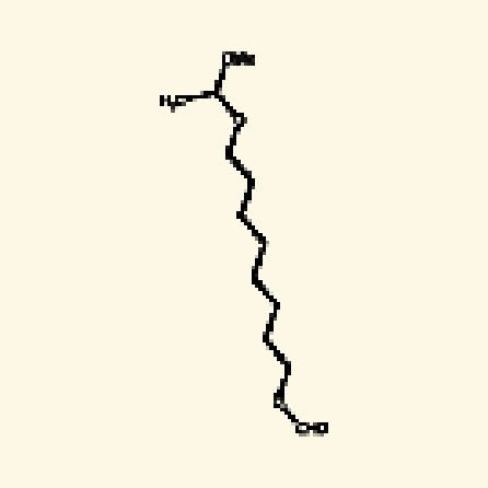 COC(C)OCCCCCCCCOC=O